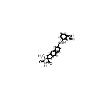 CN1C(=O)NC(=O)C12Cc1cc3ccc(CNc4cccc5[nH]c(=O)oc45)nc3cc1C2